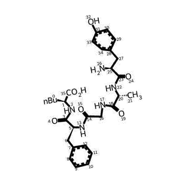 CCCC[C@H](NC(=O)[C@H](Cc1ccccc1)NC(=O)CNC(=O)[C@@H](C)NC(=O)[C@@H](N)Cc1ccc(O)cc1)C(=O)O